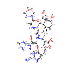 C=C1C(NC(C)C(=O)N2CCOCC2)CC2[C@](C)(CC[C@@H](O)[C@@]2(C)CO)C1CC(NC(C)C(=O)NC1=NCC=N1)C1=C/C(=C\c2cnc(N)[nH]c2=O)OC1=O